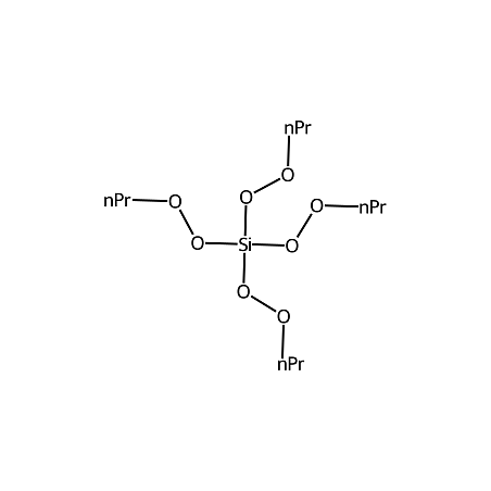 CCCOO[Si](OOCCC)(OOCCC)OOCCC